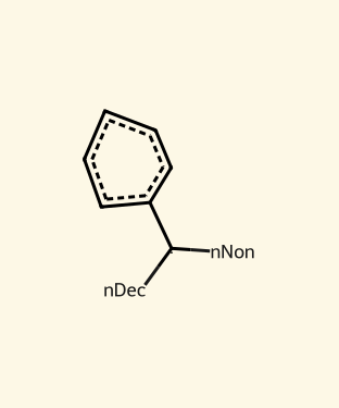 CCCCCCCCCC[C](CCCCCCCCC)c1ccccc1